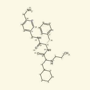 CCCNC(CC1CCCCC1)C(=O)N[C@@H](Cc1ccccc1)C(=O)NCc1ccc(CN)cc1